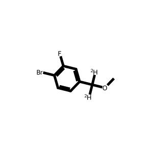 [2H]C([2H])(OC)c1ccc(Br)c(F)c1